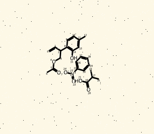 C=CC(COC(C)=O)c1ccc(C)cc1O.CC(C)C(=O)O.O=[N+]([O-])c1ccccc1